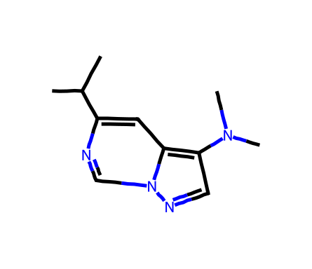 CC(C)c1cc2c(N(C)C)cnn2cn1